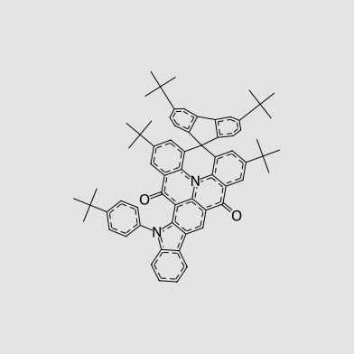 CC(C)(C)c1ccc(-n2c3ccccc3c3cc4c(=O)c5cc(C(C)(C)C)cc6c5n5c7c(cc(C(C)(C)C)cc7c(=O)c(c32)c45)C62c3ccc(C(C)(C)C)cc3-c3cc(C(C)(C)C)ccc32)cc1